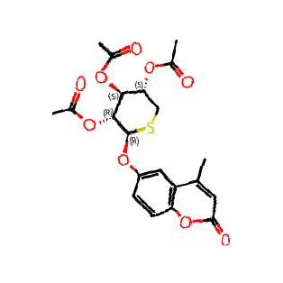 CC(=O)O[C@@H]1[C@@H](OC(C)=O)[C@H](OC(C)=O)CS[C@H]1Oc1ccc2oc(=O)cc(C)c2c1